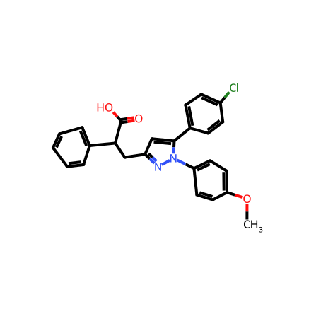 COc1ccc(-n2nc(CC(C(=O)O)c3ccccc3)cc2-c2ccc(Cl)cc2)cc1